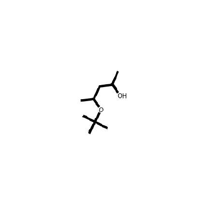 CC(O)CC(C)OC(C)(C)C